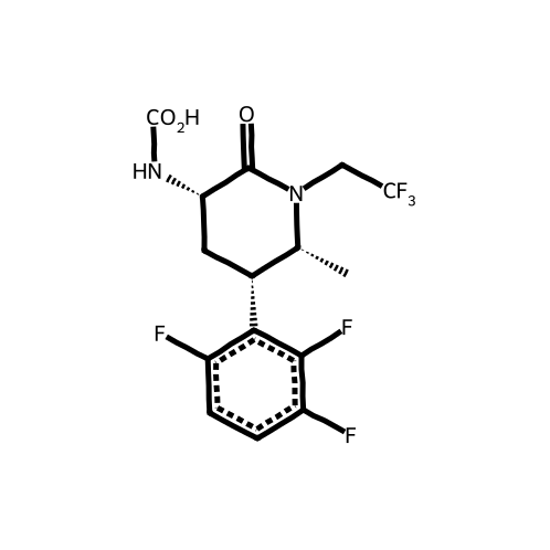 C[C@@H]1[C@H](c2c(F)ccc(F)c2F)C[C@H](NC(=O)O)C(=O)N1CC(F)(F)F